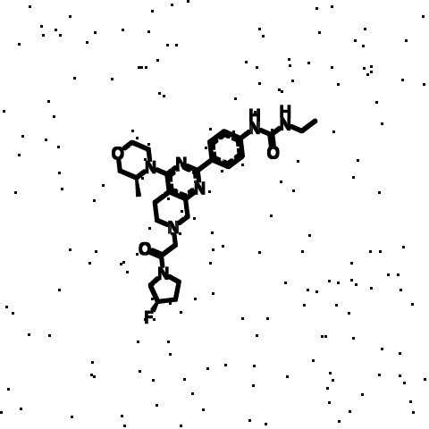 CCNC(=O)Nc1ccc(-c2nc3c(c(N4CCOC[C@@H]4C)n2)CCN(CC(=O)N2CC[C@@H](F)C2)C3)cc1